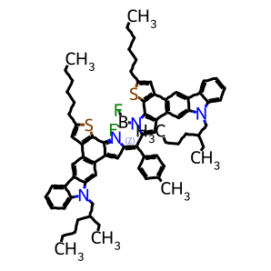 CCCCCCc1cc2c(s1)c1c(c3cc4c(cc32)c2ccccc2n4CC(CC)CCCC)=C/C(=C(\c2ccc(C)cc2)c2cc3c4cc5c(cc4c4cc(CCCCCC)sc4c3n2B(F)F)c2ccccc2n5CC(CC)CCCC)N=1